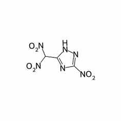 O=[N+]([O-])c1n[nH]c(C([N+](=O)[O-])[N+](=O)[O-])n1